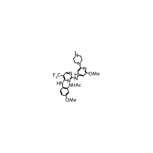 COc1ccc(Nc2nc(Nc3cc(OC)nc(N4CCN(C)CC4)c3)ncc2C(F)(F)F)c(NC(C)=O)c1